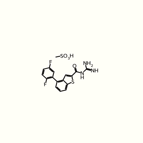 CS(=O)(=O)O.N=C(N)NC(=O)c1cc2c(-c3cc(F)ccc3F)cccc2s1